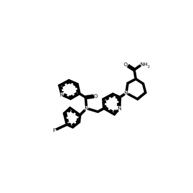 NC(=O)C1CCCN(c2ccc(CN(C(=O)c3cccnc3)c3ccc(F)cc3)cn2)C1